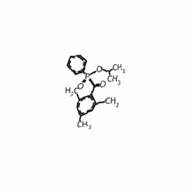 Cc1cc(C)c(C(=O)P(=O)(OC(C)C)c2ccccc2)c(C)c1